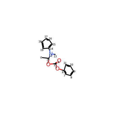 CC(OC(=O)Oc1ccccc1)N(C)c1ccccc1